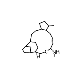 CNC1/C=C\CC2C(C)CCC2CCC2CC[C@@H](CC1)C1CCC2C1